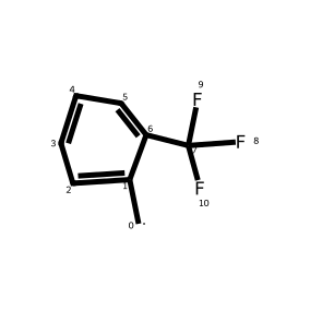 [CH2]c1ccccc1C(F)(F)F